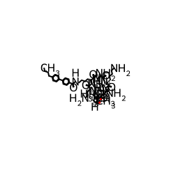 CCCCc1ccc(-c2ccc(C(=O)NCCCC[C@H](NC(=O)[C@@H](N)CCN)C(=O)N[C@@H](N)C(=O)N[C@@H](CCCCN)C(=O)N[C@@H](N)B3OC4C[C@@H]5C[C@@H](C5(C)C)[C@]4(C)O3)cc2)cc1